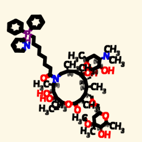 CC[C@H]1OC(=O)[C@H](C)[C@@H](COC[C@H]2C[C@@](C)(OC)[C@@H](O)[C@H](C)O2)[C@H](C)[C@@H](C[C@@H]2O[C@H](C)C[C@H](N(C)C)[C@H]2O)[C@](C)(O)C[C@@H](C)CN(C(=O)CCCCCCC[PH](c2ccccc2)(c2ccccc2)c2ccccn2)[C@H](C)[C@@H](O)[C@]1(C)O